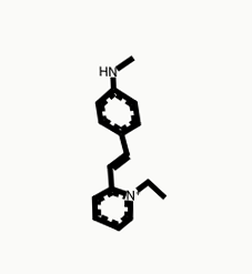 CC[n+]1ccccc1/C=C/c1ccc(NC)cc1